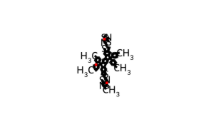 Cc1ccc(C2(c3ccc(C)cc3)c3cc4c(cc3-c3cc5sc(-c6nc7scnc7s6)cc5cc32)C(c2ccc(C)cc2)(c2ccc(C)cc2)c2cc3cc(-c5nc6sc(C)nc6s5)sc3cc2-4)cc1